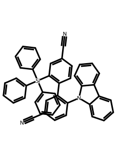 N#Cc1ccc(-n2c3ccccc3c3ccccc32)c(-c2ccc(C#N)cc2[Si](c2ccccc2)(c2ccccc2)c2ccccc2)c1